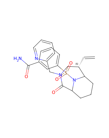 C=C[C@H]1CN(Cc2ccccn2)C(=O)C2CCCC1N2S(=O)(=O)c1cccc(C(N)=O)c1